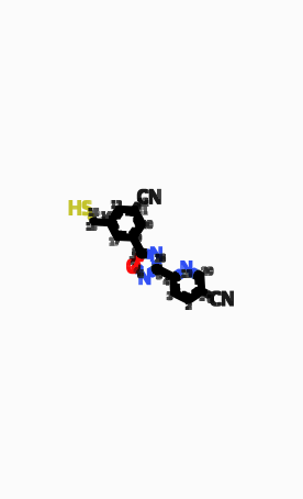 N#Cc1ccc(-c2noc(-c3cc(C#N)cc(CS)c3)n2)nc1